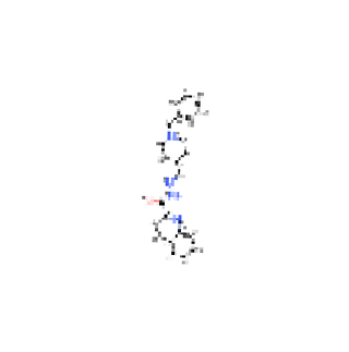 O=C(NN=CC1CCN(Cc2ccccc2)CC1)c1ccc2ccccc2n1